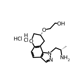 C[C@H](N)Cn1ncc2ccc3c(c21)C[C@@H](OCCO)CO3.Cl.Cl